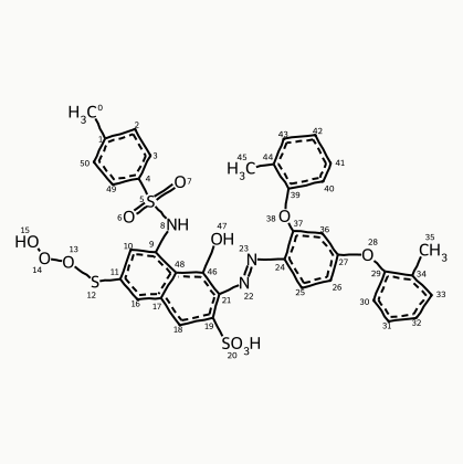 Cc1ccc(S(=O)(=O)Nc2cc(SOOO)cc3cc(S(=O)(=O)O)c(N=Nc4ccc(Oc5ccccc5C)cc4Oc4ccccc4C)c(O)c23)cc1